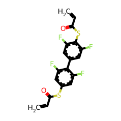 C=CC(=O)Sc1cc(F)c(-c2cc(F)c(SC(=O)C=C)c(F)c2)c(F)c1